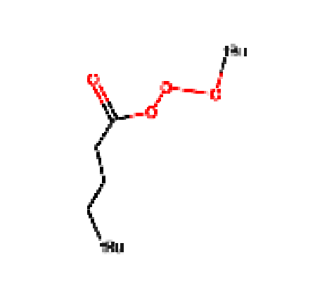 CC(C)(C)CCCC(=O)OOOC(C)(C)C